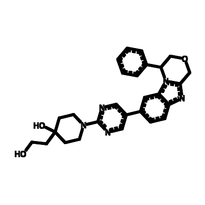 OCCC1(O)CCN(c2ncc(-c3ccc4nc5n(c4c3)C(c3ccccc3)COC5)cn2)CC1